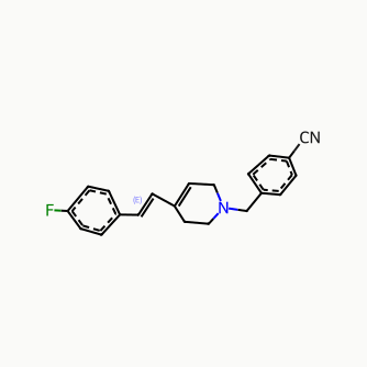 N#Cc1ccc(CN2CC=C(/C=C/c3ccc(F)cc3)CC2)cc1